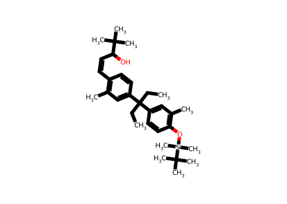 CCC(CC)(c1ccc(/C=C\C(O)C(C)(C)C)c(C)c1)c1ccc(O[Si](C)(C)C(C)(C)C)c(C)c1